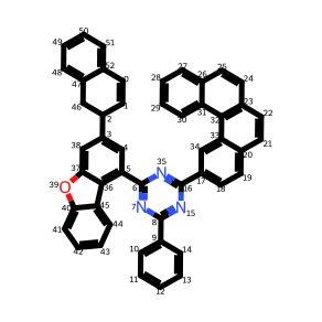 C1=CC(c2cc(-c3nc(-c4ccccc4)nc(-c4ccc5ccc6ccc7ccccc7c6c5c4)n3)c3c(c2)oc2ccccc23)Cc2ccccc21